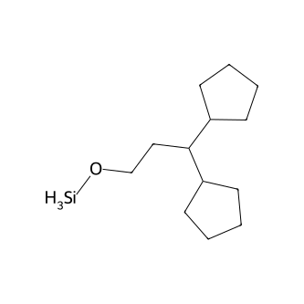 [SiH3]OCCC(C1CCCC1)C1CCCC1